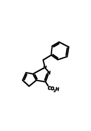 O=C(O)c1nn(Cc2ccccc2)c2c1CC=C2